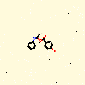 CCCC(=Nc1ccccc1)OC(=O)c1ccc(O)cc1